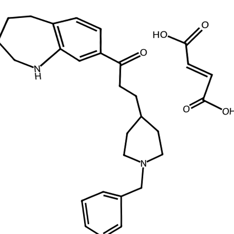 O=C(CCC1CCN(Cc2ccccc2)CC1)c1ccc2c(c1)NCCCC2.O=C(O)C=CC(=O)O